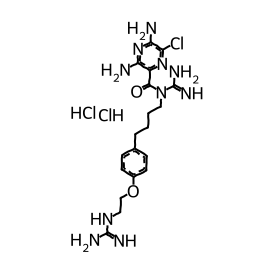 Cl.Cl.N=C(N)NCCOc1ccc(CCCCN(C(=N)N)C(=O)c2nc(Cl)c(N)nc2N)cc1